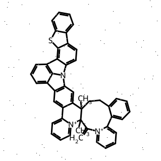 C=C1[n+]2ccccc2-c2ccccc2CCC2(C)c3cc4c(cc3-c3cccc[n+]3C12C)c1cccc2c3c5sc6ccccc6c5ccc3n4c12